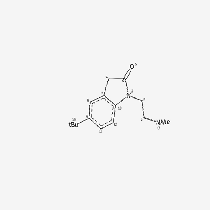 CNCCN1C(=O)Cc2cc(C(C)(C)C)ccc21